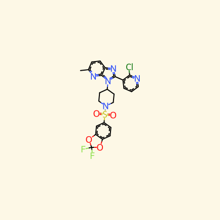 Cc1ccc2nc(-c3cccnc3Cl)n(C3CCN(S(=O)(=O)c4ccc5c(c4)OC(F)(F)O5)CC3)c2n1